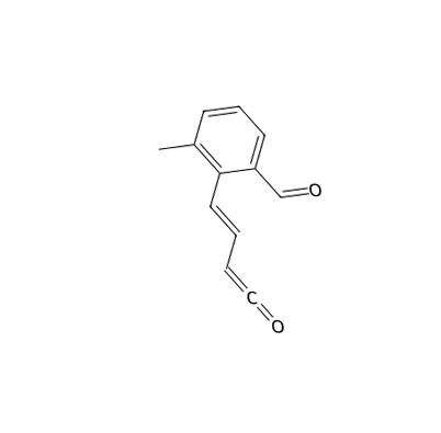 Cc1cccc(C=O)c1/C=C/C=C=O